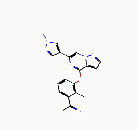 CC(=N)c1cccc(Oc2nc(-c3cnn(C)c3)cn3nccc23)c1C